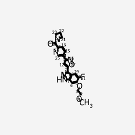 COCCOc1cc2[nH]nc(-c3cc(-c4ccc(C(=O)N5CCC5)nc4)no3)c2cc1F